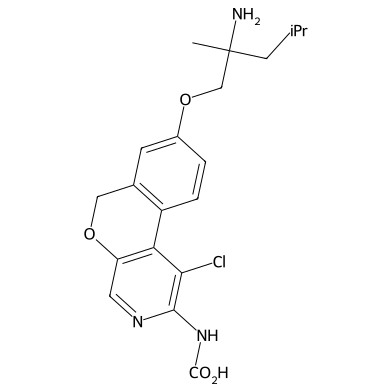 CC(C)CC(C)(N)COc1ccc2c(c1)COc1cnc(NC(=O)O)c(Cl)c1-2